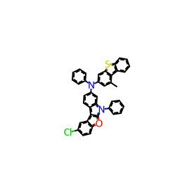 Cc1cc(N(c2ccccc2)c2ccc3c4c5cc(Cl)ccc5oc4n(-c4ccccc4)c3c2)cc2sc3ccccc3c12